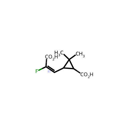 CC1(C)C(/C=C(/F)C(=O)O)C1C(=O)O